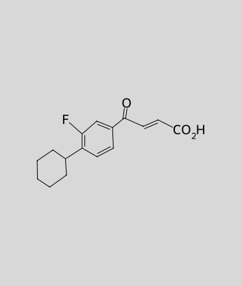 O=C(O)C=CC(=O)c1ccc(C2CCCCC2)c(F)c1